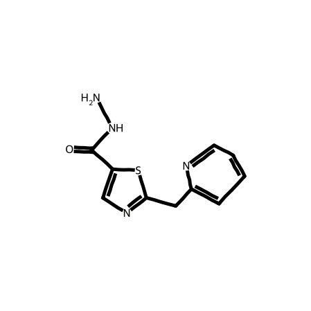 NNC(=O)c1cnc(Cc2ccccn2)s1